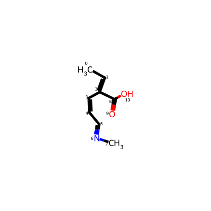 C\C=C(/C=C\C=N\C)C(=O)O